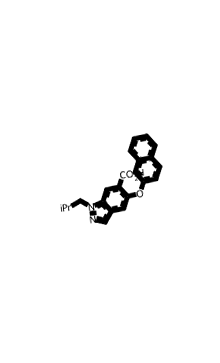 CC(C)Cn1ncc2cc(Oc3ccc4ccccc4c3)c(C(=O)O)cc21